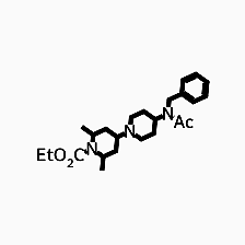 CCOC(=O)N1C(C)CC(N2CCC(N(Cc3ccccc3)C(C)=O)CC2)CC1C